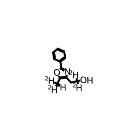 [2H]C([2H])(O)Cc1nc(-c2ccccc2)oc1C([2H])([2H])[2H]